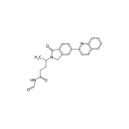 CC(CCC(=O)NC=O)N1Cc2cc(-c3ccc4ccccc4n3)ccc2C1=O